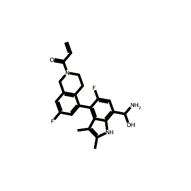 C=CC(=O)N1CCc2c(cc(F)cc2-c2c(F)cc(C(N)O)c3[nH]c(C)c(C)c23)C1